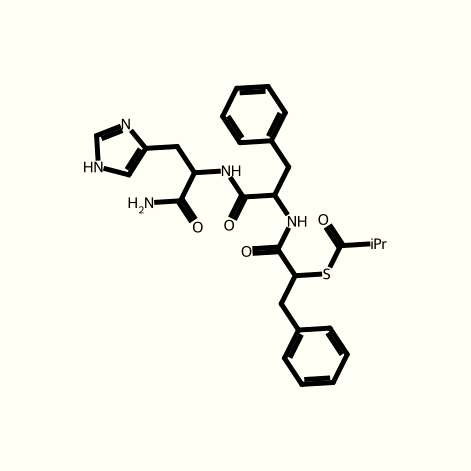 CC(C)C(=O)SC(Cc1ccccc1)C(=O)NC(Cc1ccccc1)C(=O)NC(Cc1c[nH]cn1)C(N)=O